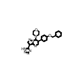 c1ccc(COc2ccc(-c3cnc4c(-c5nnn[nH]5)cnn4c3N3CCOCC3)cc2)cc1